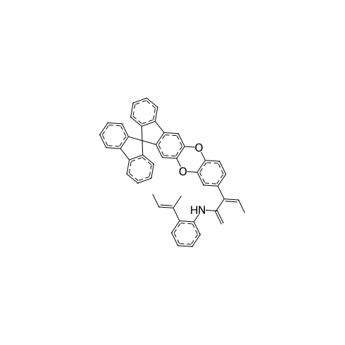 C=C(Nc1ccccc1/C(C)=C/C)/C(=C\C)c1ccc2c(c1)Oc1cc3c(cc1O2)-c1ccccc1C31c2ccccc2-c2ccccc21